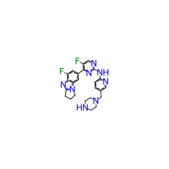 Fc1cnc(Nc2ccc(CN3CCNCC3)cn2)nc1-c1cc(F)c2nc3n(c2c1)CCC3